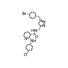 O=C(NCc1cn(Cc2ccc(Br)cc2)nn1)c1cccnc1Nc1ccc(Cl)cc1